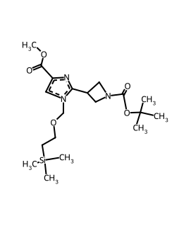 COC(=O)c1cn(COCC[Si](C)(C)C)c(C2CN(C(=O)OC(C)(C)C)C2)n1